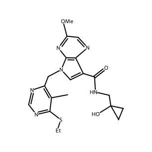 CCSc1ncnc(Cn2cc(C(=O)NCC3(O)CC3)c3ncc(OC)nc32)c1C